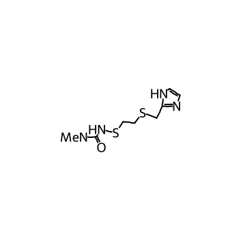 CNC(=O)NSCCSCc1ncc[nH]1